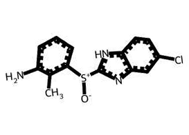 Cc1c(N)cccc1[S+]([O-])c1nc2cc(Cl)ccc2[nH]1